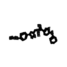 COc1ccc(-c2cc(CNC(=O)c3ccc(Oc4ccccc4)nc3)on2)cc1